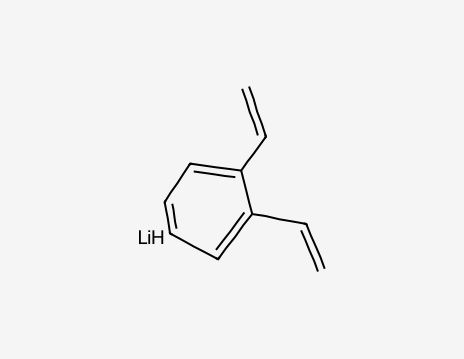 C=Cc1ccccc1C=C.[LiH]